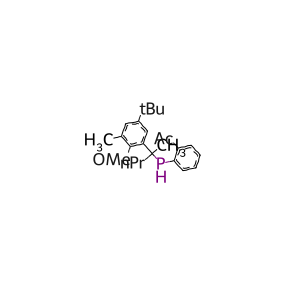 CCCC(C)(Pc1ccccc1C(C)=O)c1cc(C(C)(C)C)cc(C)c1OC